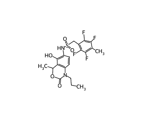 CCCN1C(=O)OC(C)c2c1ccc(NS(=O)(=O)Cc1c(F)c(F)c(C)c(F)c1F)c2O